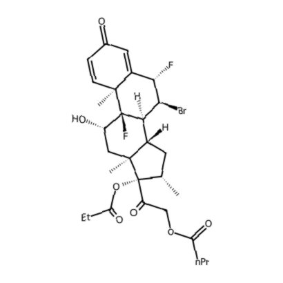 CCCC(=O)OCC(=O)[C@]1(OC(=O)CC)[C@@H](C)C[C@H]2[C@@H]3[C@H](Br)[C@@H](F)C4=CC(=O)C=C[C@]4(C)[C@@]3(F)[C@@H](O)C[C@@]21C